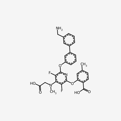 Cc1ccc(C(=O)O)c(Oc2nc(Oc3cccc(-c4cccc(CN)c4)c3)c(F)c(N(C)CC(=O)O)c2F)c1